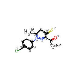 COC(=O)c1nn(-c2ccc(Cl)cc2)c(C)cc1=S